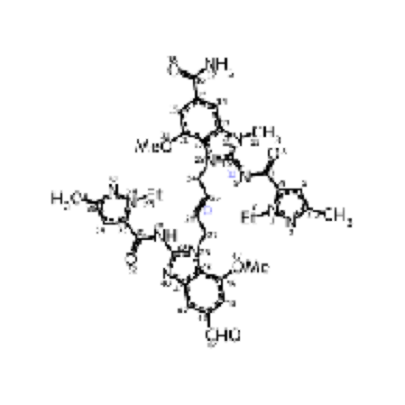 CCn1nc(C)cc1C(=O)/N=c1\n(C)c2cc(C(N)=O)cc(OC)c2n1C/C=C/Cn1c(NC(=O)c2cc(C)nn2CC)nc2cc(C=O)cc(OC)c21